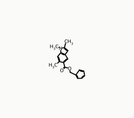 Cc1cc2c(cc1C(=O)OCc1ccccc1)cc(C)n2C